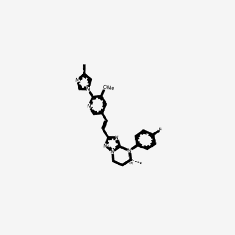 COc1cc(C=Cc2nc3n(n2)CC[C@@H](C)N3c2ccc(F)cc2)cnc1-n1cnc(C)c1